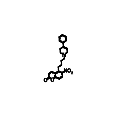 O=c1ccc2c(CCCCN3CC=C(c4ccccc4)CC3)c([N+](=O)[O-])ccc2o1